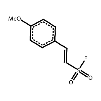 COc1ccc(C=CS(=O)(=O)F)cc1